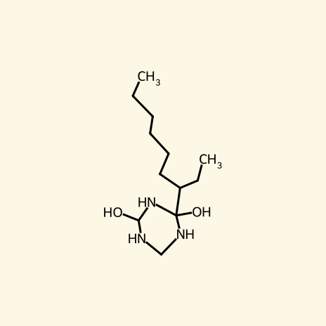 CCCCCCC(CC)C1(O)NCNC(O)N1